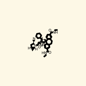 CCNC(=O)c1ccc2c(c1)CCc1cc(C(=O)NCC)ccc1C2(C[C@H](NCC(=O)N1[C@H](C#N)C[C@@H]2C[C@@H]21)C1CCCCC1)c1nnn[nH]1